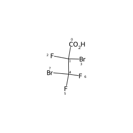 O=C(O)C(F)(Br)C(F)(F)Br